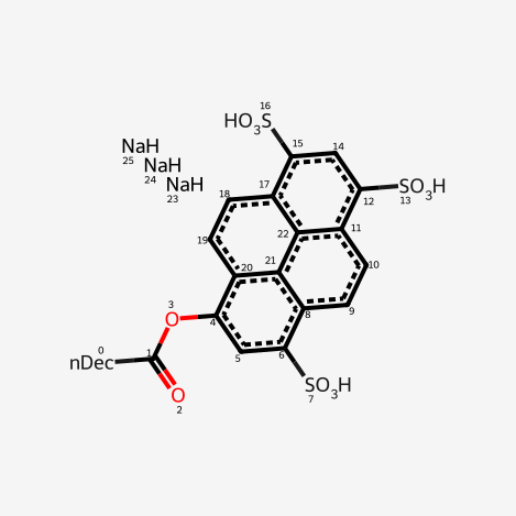 CCCCCCCCCCC(=O)Oc1cc(S(=O)(=O)O)c2ccc3c(S(=O)(=O)O)cc(S(=O)(=O)O)c4ccc1c2c43.[NaH].[NaH].[NaH]